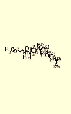 COCCCNC(=O)Nc1ccc(-n2ncc3c(=O)n(CC4(O)CCN(C(=O)C5CC5)CC4)cnc32)cc1